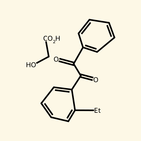 CCc1ccccc1C(=O)C(=O)c1ccccc1.O=C(O)CO